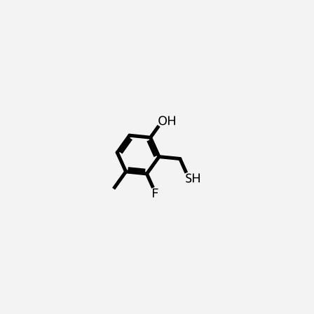 Cc1ccc(O)c(CS)c1F